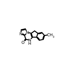 Cc1ccc2c(c1)Cc1c-2[nH]c(=O)c2nccn12